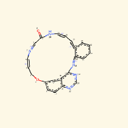 O=C1/C=N\C=C/COc2ccc3ncnc(c3c2)/N=c2/cccc/c2=C/C=C\N1